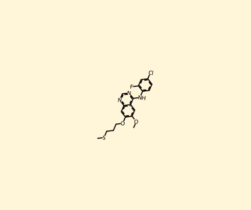 COc1cc2c(Nc3ccc(Cl)cc3F)ncnc2cc1OCCCSC